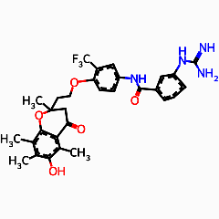 Cc1c(C)c2c(c(C)c1O)C(=O)CC(C)(CCOc1ccc(NC(=O)c3cccc(NC(=N)N)c3)cc1C(F)(F)F)O2